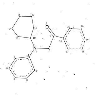 O=C(CN(c1ccccc1)C1CCCCC1)c1ccccc1